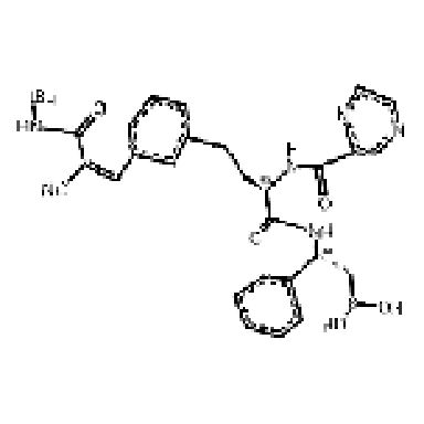 CC(C)(C)NC(=O)C(C#N)=Cc1cccc(CC[C@@H](NC(=O)c2cnccn2)C(=O)N[C@H](CB(O)O)c2ccccc2)c1